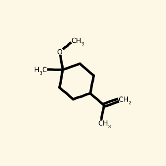 C=C(C)C1CCC(C)(OC)CC1